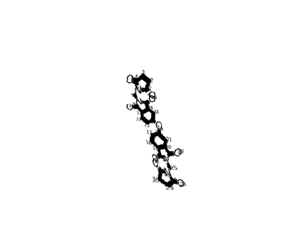 O=C1C=CC(=O)N1CN1C(=O)c2ccc(Oc3ccc4c(c3)C(=O)N(CN3C(=O)CCC3=O)C4=O)cc2C1=O